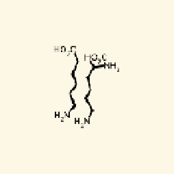 NCCCCC(N)C(=O)O.NCCCCCC(=O)O